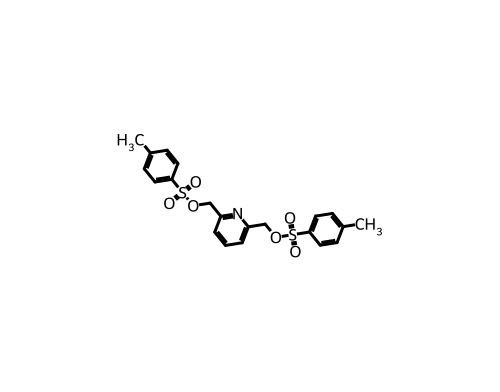 Cc1ccc(S(=O)(=O)OCc2cccc(COS(=O)(=O)c3ccc(C)cc3)n2)cc1